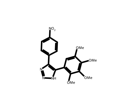 COc1cc(-c2[nH]nnc2-c2ccc([N+](=O)[O-])cc2)c(OC)c(OC)c1OC